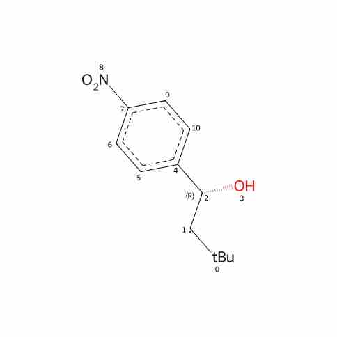 CC(C)(C)[CH][C@@H](O)c1ccc([N+](=O)[O-])cc1